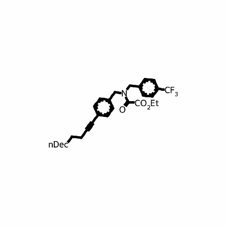 CCCCCCCCCCCCC#Cc1ccc(CN(Cc2ccc(C(F)(F)F)cc2)C(=O)C(=O)OCC)cc1